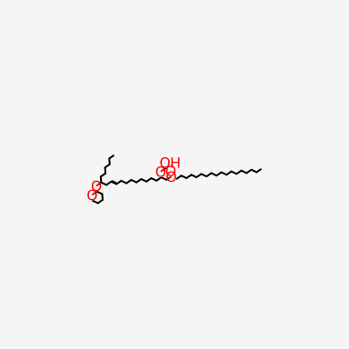 CCCCCCCCCCCCCCCCCCOCC(CCCCCCCCC=CCC(CCCCCC)OC1CCCCO1)OC(=O)O